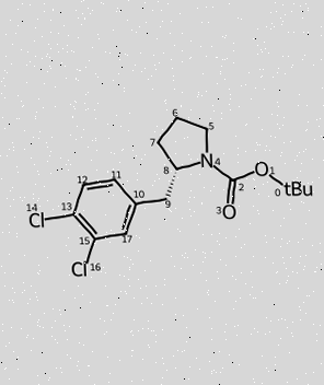 CC(C)(C)OC(=O)N1CCC[C@H]1Cc1ccc(Cl)c(Cl)c1